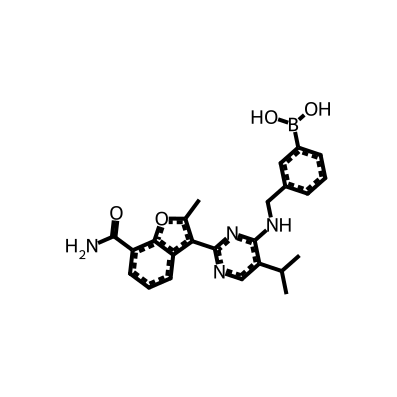 Cc1oc2c(C(N)=O)cccc2c1-c1ncc(C(C)C)c(NCc2cccc(B(O)O)c2)n1